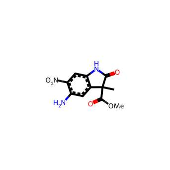 COC(=O)C1(C)C(=O)Nc2cc([N+](=O)[O-])c(N)cc21